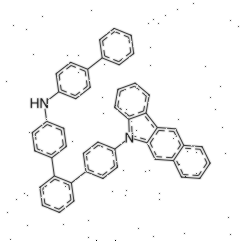 c1ccc(-c2ccc(Nc3ccc(-c4ccccc4-c4ccc(-n5c6ccccc6c6cc7ccccc7cc65)cc4)cc3)cc2)cc1